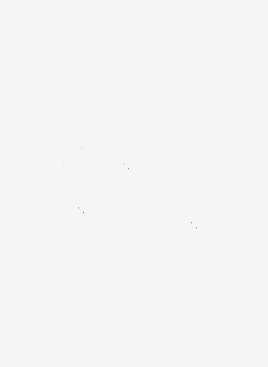 CN(C)C(=O)c1cccc(Nc2c(NC3CCOC3)c(=O)c2=O)c1O